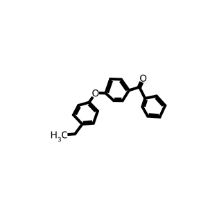 CCc1ccc(Oc2ccc(C(=O)c3ccccc3)cc2)cc1